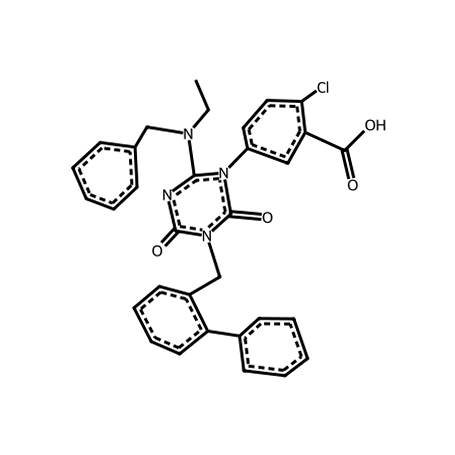 CCN(Cc1ccccc1)c1nc(=O)n(Cc2ccccc2-c2ccccc2)c(=O)n1-c1ccc(Cl)c(C(=O)O)c1